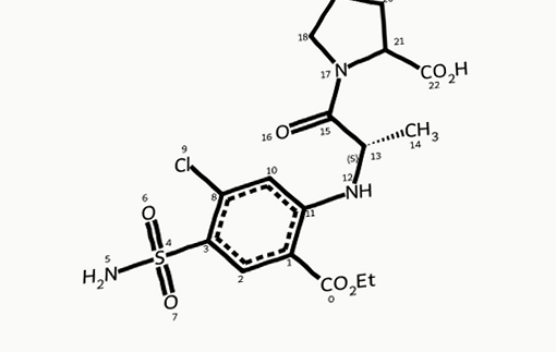 CCOC(=O)c1cc(S(N)(=O)=O)c(Cl)cc1N[C@@H](C)C(=O)N1CCCC1C(=O)O